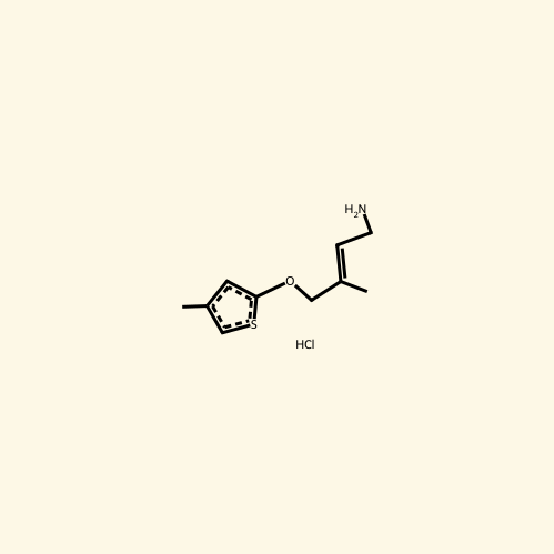 CC(=CCN)COc1cc(C)cs1.Cl